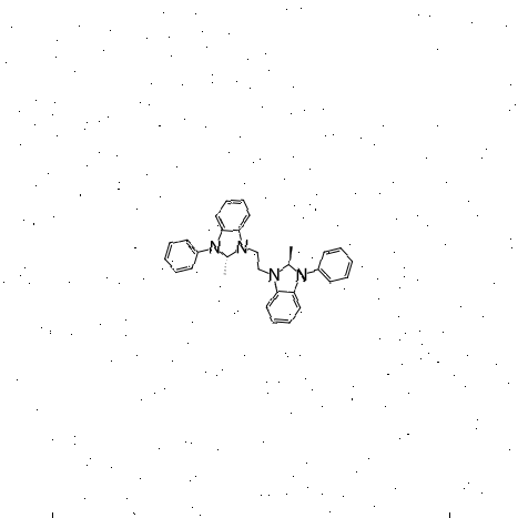 C[C@@H]1N(CCN2c3ccccc3N(c3ccccc3)[C@H]2C)c2ccccc2N1c1ccccc1